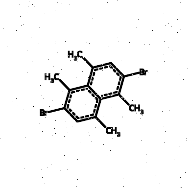 Cc1cc(Br)c(C)c2c(C)cc(Br)c(C)c12